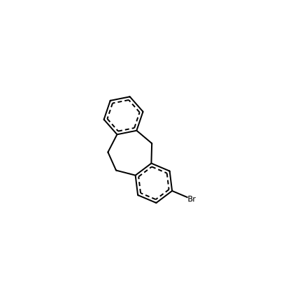 Brc1ccc2c(c1)Cc1ccccc1CC2